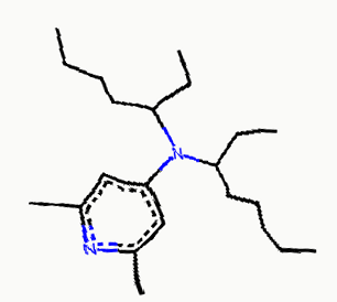 CCCCC(CC)N(c1cc(C)nc(C)c1)C(CC)CCCC